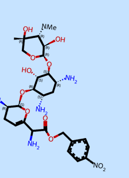 CN[C@@H]1[C@@H](O)[C@@H](O[C@@H]2[C@@H](O)[C@H](O[C@H]3OC(C(N)C(=O)OCc4ccc([N+](=O)[O-])cc4)=CC[C@H]3N)[C@@H](N)C[C@H]2N)OC[C@]1(C)O